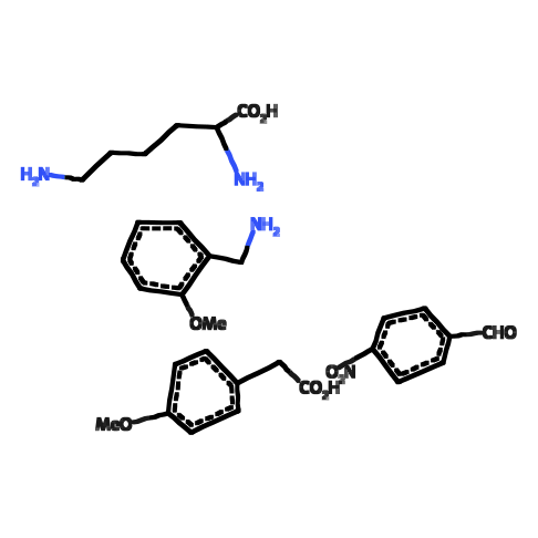 COc1ccc(CC(=O)O)cc1.COc1ccccc1CN.NCCCCC(N)C(=O)O.O=Cc1ccc([N+](=O)[O-])cc1